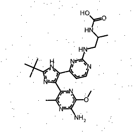 COc1nc(-c2nc(C(C)(C)C)[nH]c2-c2ccnc(NCC(C)NC(=O)O)n2)c(C)nc1N